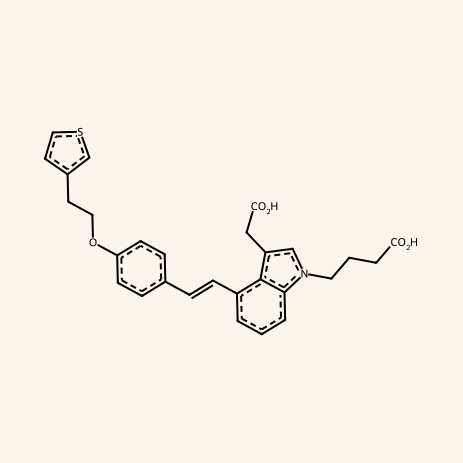 O=C(O)CCCn1cc(CC(=O)O)c2c(C=Cc3ccc(OCCc4ccsc4)cc3)cccc21